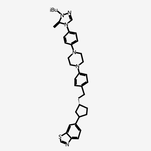 C=C1N(c2ccc(N3CCN(c4ccc(CC[C@@H]5CCC(c6ccc7ncsc7c6)C5)cc4)CC3)cc2)C=NN1C(C)CC